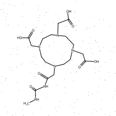 CNC(=O)NC(=O)CN1CCN(CC(=O)O)CCN(CC(=O)O)CCN(CC(=O)O)CC1